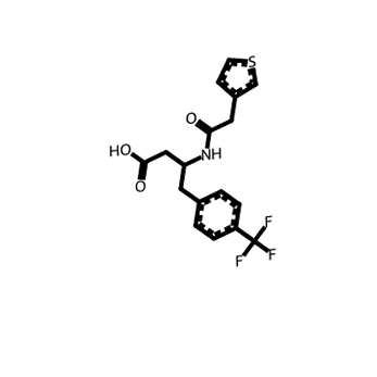 O=C(O)CC(Cc1ccc(C(F)(F)F)cc1)NC(=O)Cc1ccsc1